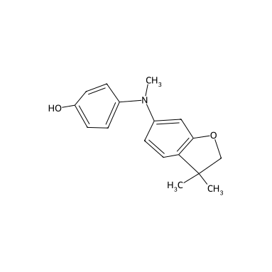 CN(c1ccc(O)cc1)c1ccc2c(c1)OCC2(C)C